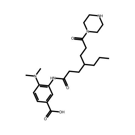 CCCC(CCC(=O)Nc1cc(C(=O)O)ccc1N(C)C)CCC(=O)N1CCNCC1